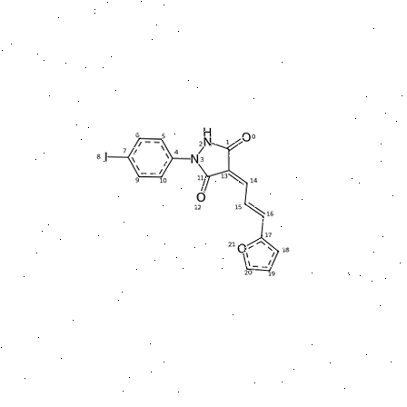 O=C1NN(c2ccc(I)cc2)C(=O)C1=CC=Cc1ccco1